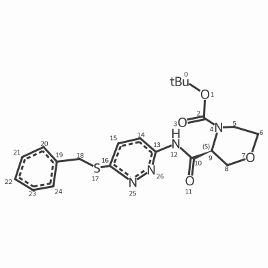 CC(C)(C)OC(=O)N1CCOC[C@H]1C(=O)Nc1ccc(SCc2ccccc2)nn1